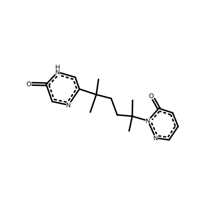 CC(C)(CCC(C)(C)n1ncccc1=O)c1c[nH]c(=O)cn1